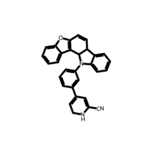 N#CC1=CC(c2cccc(N3c4ccccc4C4C=Cc5oc6ccccc6c5C43)c2)=CCN1